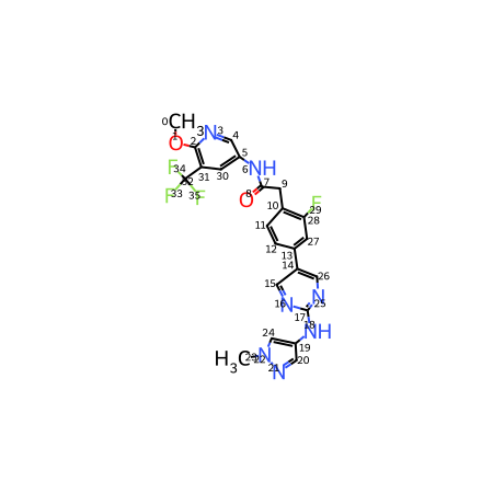 COc1ncc(NC(=O)Cc2ccc(-c3cnc(Nc4cnn(C)c4)nc3)cc2F)cc1C(F)(F)F